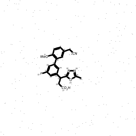 COc1ccc(CC#N)cc1-c1cc(F)cc(C(CC(=O)O)c2nnc(C)o2)c1